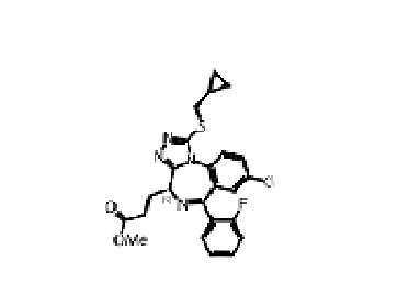 COC(=O)CC[C@@H]1N=C(c2ccccc2F)c2cc(Cl)ccc2-n2c(SCC3CC3)nnc21